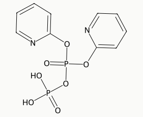 O=P(O)(O)OP(=O)(Oc1ccccn1)Oc1ccccn1